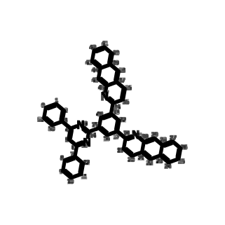 c1ccc(-c2cc(-c3ccccc3)nc(-c3cc(-c4ccc5cc6ccccc6cc5n4)cc(-c4ccc5cc6ccccc6cc5n4)c3)n2)cc1